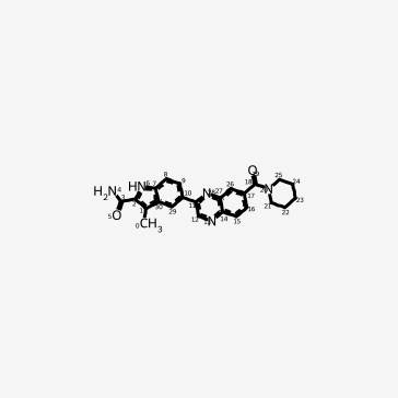 Cc1c(C(N)=O)[nH]c2ccc(-c3cnc4ccc(C(=O)N5CCCCC5)cc4n3)cc12